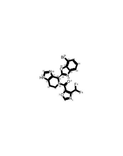 O=C(c1ocnc1C(F)F)N1CCc2[nH]cnc2[C@H]1c1nc2cccc(Br)c2o1